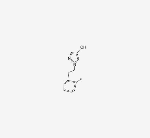 Oc1cnn(CCc2ccccc2F)c1